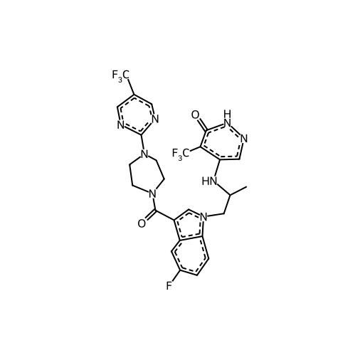 CC(Cn1cc(C(=O)N2CCN(c3ncc(C(F)(F)F)cn3)CC2)c2cc(F)ccc21)Nc1cn[nH]c(=O)c1C(F)(F)F